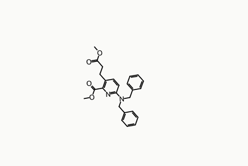 COC(=O)CCc1ccc(N(Cc2ccccc2)Cc2ccccc2)nc1C(=O)OC